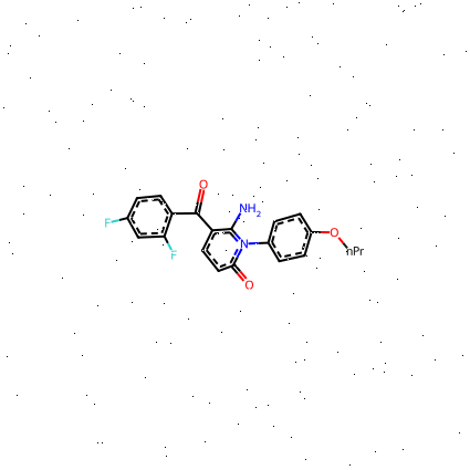 C[CH]COc1ccc(-n2c(N)c(C(=O)c3ccc(F)cc3F)ccc2=O)cc1